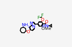 COc1cc(-c2cnc3cc(OC4CCCC[C@@H](N)C4)ccn23)cc(OC(F)F)c1C(=O)NC1CC1